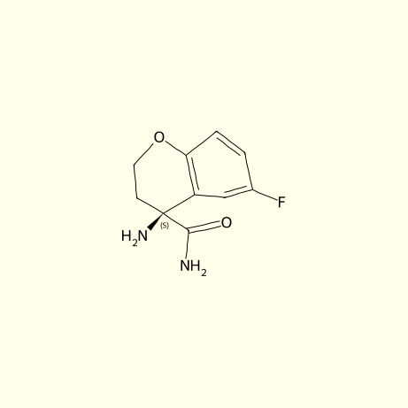 NC(=O)[C@]1(N)CCOc2ccc(F)cc21